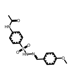 COc1ccc(C=NNS(=O)(=O)c2ccc(NC(C)=O)cc2)cc1